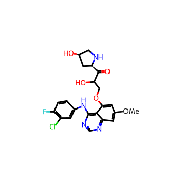 COc1cc(OCC(O)C(=O)[C@H]2C[C@@H](O)CN2)c2c(Nc3ccc(F)c(Cl)c3)ncnc2c1